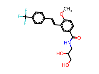 COc1ccc(C(=O)NCC(O)CO)cc1C=Cc1ccc(C(F)(F)F)cc1